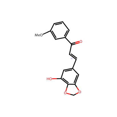 COc1cccc(C(=O)/C=C/c2cc(O)c3c(c2)OCO3)c1